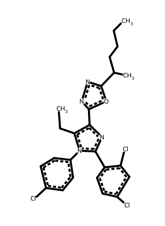 CCCCC(C)c1nnc(-c2nc(-c3ccc(Cl)cc3Cl)n(-c3ccc(Cl)cc3)c2CC)o1